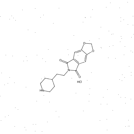 Cl.O=C1c2cc3c(cc2C(=O)N1CCC1CCNCC1)OCO3